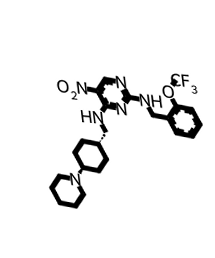 O=[N+]([O-])c1cnc(NCc2ccccc2OC(F)(F)F)nc1NC[C@H]1CC[C@H](N2CCCCC2)CC1